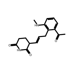 CNc1cccc(C(C)=O)c1C/C=C/C1CCC(=O)NC1=O